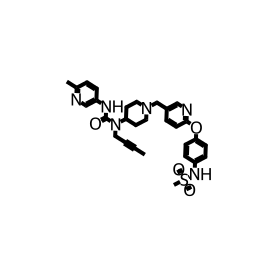 CC#CCN(C(=O)Nc1ccc(C)nc1)C1CCN(Cc2ccc(Oc3ccc(NS(C)(=O)=O)cc3)nc2)CC1